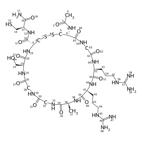 CC(=O)N[C@H]1CSSC[C@@H](C(=O)N[C@@H](CS)C(N)=O)NC(=O)[C@H](CO)NC(=O)CNC(=O)CNC(=O)[C@H](C)NC(=O)[C@H](CCCNC(=N)N)NC(=O)[C@H](CCCNC(=N)N)NC(=O)CNC1=O